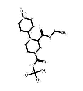 CCOC(=O)C1CN(C(=O)OC(C)(C)C)CCN1C1CCN(C)CC1